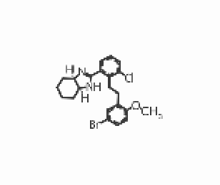 COc1ccc(Br)cc1CCc1c(Cl)cccc1C1=N[C@@H]2CCCC[C@@H]2N1